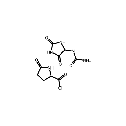 NC(=O)NC1NC(=O)NC1=O.O=C1CCC(C(=O)O)N1